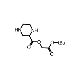 CC(C)(C)OC(=O)COC(=O)C1CNCCN1